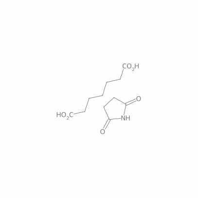 O=C(O)CCCCCC(=O)O.O=C1CCC(=O)N1